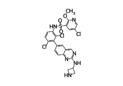 COc1ncc(Cl)cc1S(=O)(=O)Nc1ccc(Cl)c(-c2ccc3nc(NC4CNC4)ncc3c2)c1Cl